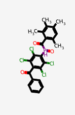 Cc1cc(C)c(C(=O)[PH](=O)c2c(Cl)c(Cl)c(C(=O)c3ccccc3)c(Cl)c2Cl)c(C)c1C